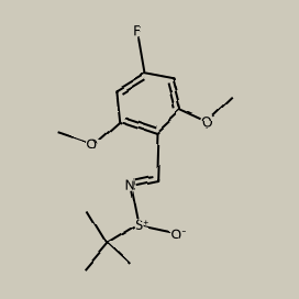 COc1cc(F)cc(OC)c1C=N[S+]([O-])C(C)(C)C